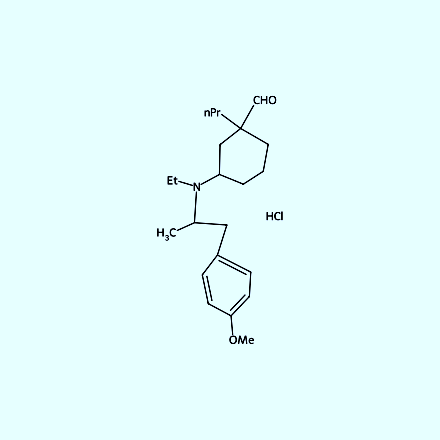 CCCC1(C=O)CCCC(N(CC)C(C)Cc2ccc(OC)cc2)C1.Cl